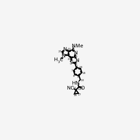 CNc1nc2nc(-c3ccc(CNC(=O)C4(C#N)CC4)cc3)sc2c2c1ncn2C